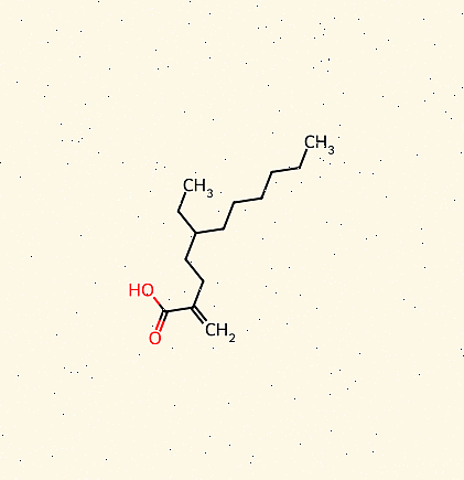 C=C(CCC(CC)CCCCCC)C(=O)O